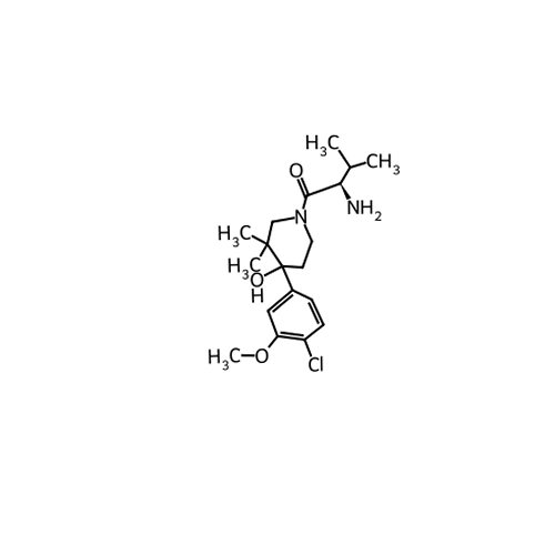 COc1cc(C2(O)CCN(C(=O)[C@H](N)C(C)C)CC2(C)C)ccc1Cl